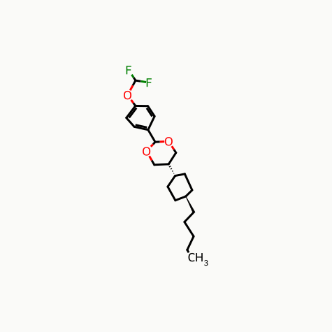 CCCCC[C@H]1CC[C@H](C2COC(c3ccc(OC(F)F)cc3)OC2)CC1